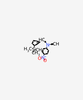 C#CN(C#C)c1ccc([N+](=O)[O-])cc1.C[Si](C)(C)c1ccc2cc1-2